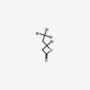 O=C1CC(Br)(CC(Br)(Br)Br)O1